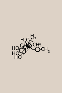 Cc1ccc(Cc2c(O[C@]3(O)O[C@H](CO)[C@@H](O)[C@H](O)[C@H]3O)nn(C(C)C)c2C)cc1F